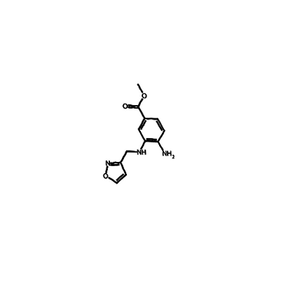 COC(=O)c1ccc(N)c(NCc2ccon2)c1